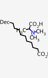 CC(C(=O)O)N(C)C.CCCCCCCCCCCCCCCCCCCC(=O)O